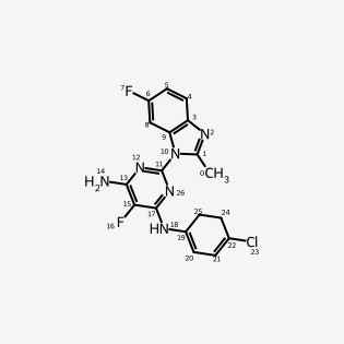 Cc1nc2ccc(F)cc2n1-c1nc(N)c(F)c(NC2=CC=C(Cl)CC2)n1